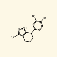 FC(F)(F)c1n[nH]c2c1CCCC2c1ccc(Br)c(Br)c1